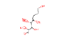 O=CC(O)C(O)C(O)C(O)CCCO